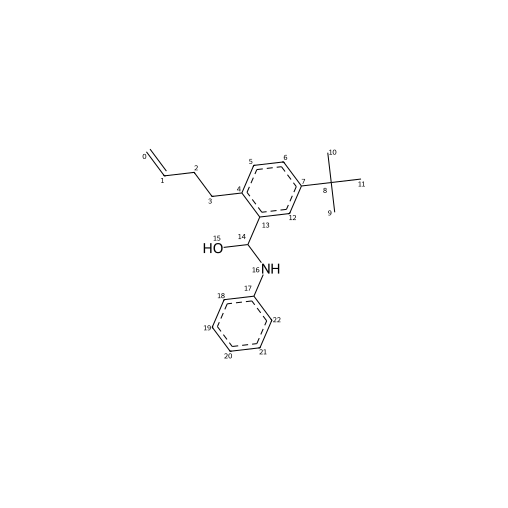 C=CCCc1ccc(C(C)(C)C)cc1C(O)Nc1ccccc1